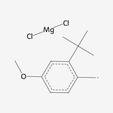 [CH2]c1ccc(OC)cc1C(C)(C)C.[Cl][Mg][Cl]